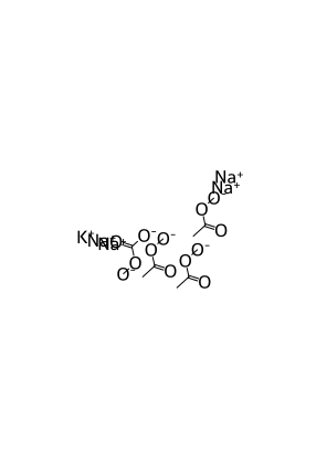 CC(=O)O[O-].CC(=O)O[O-].CC(=O)O[O-].O=C([O-])O[O-].[K+].[Na+].[Na+].[Na+].[Na+]